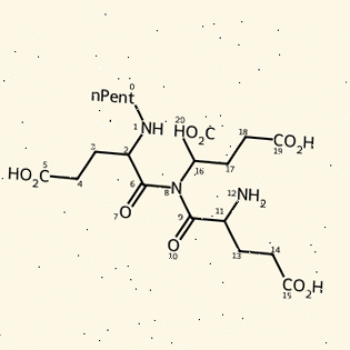 CCCCCNC(CCC(=O)O)C(=O)N(C(=O)C(N)CCC(=O)O)C(CCC(=O)O)C(=O)O